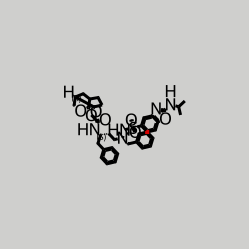 CC(C)Nc1nc2cc(S(=O)(=O)NN(CC[C@H](Cc3ccccc3)NC(=O)OC3C4CC5C[C@@H]3COC5O4)Cc3ccccc3)ccc2o1